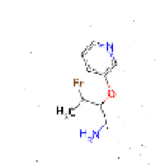 CC(Br)C(CN)Oc1cccnc1